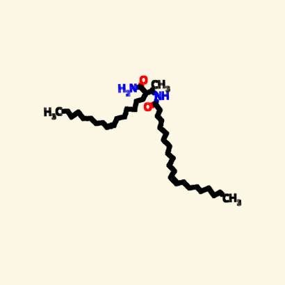 CCCCCCCC/C=C\CCCCCCCCCCCC(=O)NC(C)C(CCCCCC/C=C\CCCCCCCC)C(N)=O